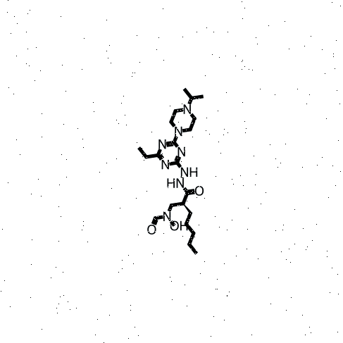 CCCCC[C@@H](CN(O)C=O)C(=O)NNc1nc(CC)nc(N2CCN(C(C)C)CC2)n1